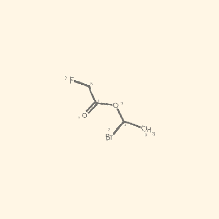 CC(Br)OC(=O)CF